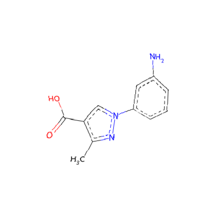 Cc1nn(-c2cccc(N)c2)cc1C(=O)O